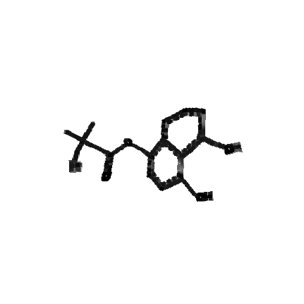 CCC(C)(C)C(=O)Oc1ccc(O)c2c(O)cccc12